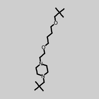 CC(C)(C)COCCCCOCCN1CCN(CC(C)(C)C)CC1